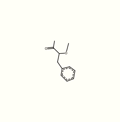 COC(Cc1ccccc1)C(C)=O